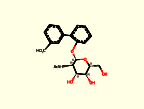 CC(=O)N[C@H]1[C@H](Oc2ccccc2-c2cccc(C(=O)O)c2)O[C@H](CO)[C@H](O)[C@@H]1O